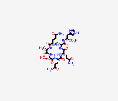 CC(C)[C@H](NC(=O)[C@H](CCC(N)=O)NC(=O)[C@H](CCC(N)=O)NC(=O)[C@H](CO)NC(=O)[C@H](C)NC(=O)[C@@H](N)CCC(N)=O)C(=O)N[C@@H](Cc1c[nH]cn1)C(=O)O